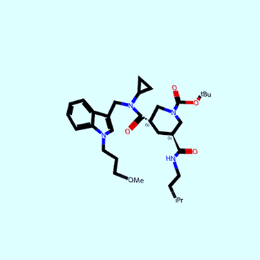 COCCCn1cc(CN(C(=O)[C@H]2C[C@H](C(=O)NCCC(C)C)CN(C(=O)OC(C)(C)C)C2)C2CC2)c2ccccc21